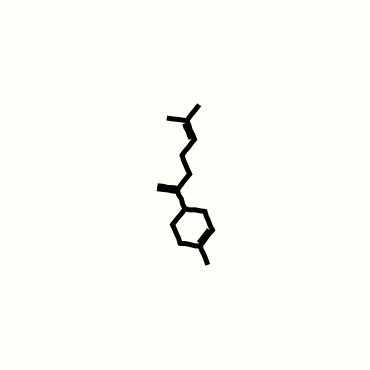 C=C(CCC=C(C)C)C1CC=C(C)CC1